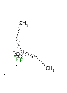 CCCCCCCCCC[C@H]1CC[C@H]([C@H]2CC[C@H](C(OC(c3ccc(F)c(F)c3)[C@H]3CC[C@H]([C@H]4CC[C@H](CCCCCCCCCC)CC4)CC3)c3ccc(F)c(F)c3)CC2)CC1